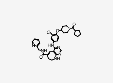 O=C(NCc1ccccn1)C1=Cc2c(ncnc2Nc2ccc(OC3CCN(C(=O)C4CCCC4)CC3)c(Cl)c2)NCC1